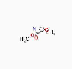 CCCOC(=O)/C(C#N)=C/c1cccc(OC)c1